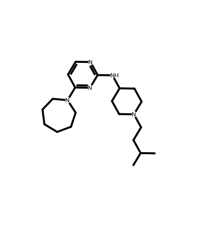 CC(C)CCN1CCC(Nc2nccc(N3CCCCCC3)n2)CC1